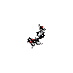 COc1cc(C(=O)N2C3CC[C@H]2C[C@@H](OCC(F)F)[C@H]3N)cc2nc(-c3cc4ccc([C@@H](C)NC(=O)C56CC(F)(C5)C6)nc4n3CC3CC3)c(C)n12